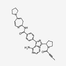 CC#CC(=O)N1CCCC1c1nc(-c2ccc(C(=O)NC3=NC=CC(N4CCCC4)=CC3)cc2)c2c(N)nccn12